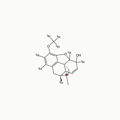 [2H]c1c([2H])c(OC([2H])([2H])[2H])c2c3c1C[C@]1([2H])[C@@H]4C=CC([2H])(O)C([2H])(O2)[C@]34CCN1C